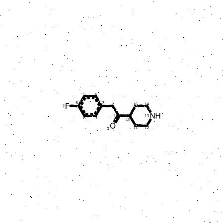 O=C(Cc1ccc(F)cc1)C1CCNCC1